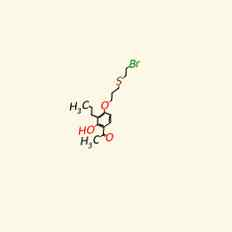 CCCc1c(OCCCSCCBr)ccc(C(C)=O)c1O